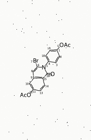 CC(=O)Oc1ccc(-n2c(Br)cc3cc(OC(C)=O)ccc3c2=O)cc1